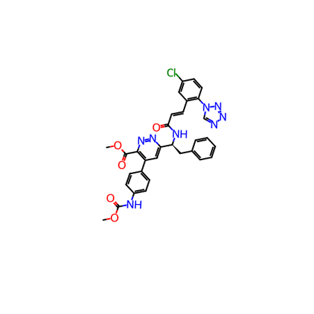 COC(=O)Nc1ccc(-c2cc([C@H](Cc3ccccc3)NC(=O)/C=C/c3cc(Cl)ccc3-n3cnnn3)nnc2C(=O)OC)cc1